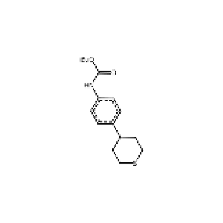 CC(C)COC(=O)Nc1ccc(C2CCSCC2)cc1